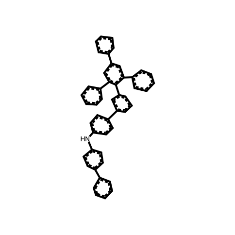 c1ccc(-c2ccc(Nc3ccc(-c4cccc(-c5c(-c6ccccc6)cc(-c6ccccc6)cc5-c5ccccc5)c4)cc3)cc2)cc1